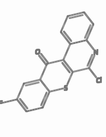 O=c1c2cc(F)ccc2sc2c(Cl)nc3ccccc3c12